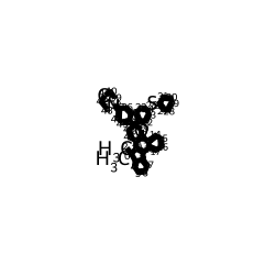 CC1(C)c2ccccc2-c2c1c1c(c3ccccc23)OC(c2ccc(Sc3ccccc3)cc2)(c2ccc(N3CCOCC3)cc2)C=C1